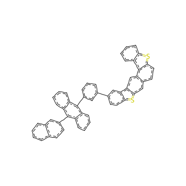 c1cc(-c2ccc3sc4cc5ccc6sc7ccccc7c6c5cc4c3c2)cc(-c2c3ccccc3c(-c3ccc4ccccc4c3)c3ccccc23)c1